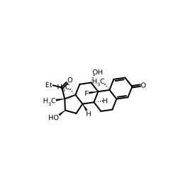 CCC(=O)[C@@]1(C)[C@H](O)C[C@H]2[C@@H]3CCC4=CC(=O)C=C[C@]4(C)[C@@]3(F)[C@@H](O)C[C@@]21C